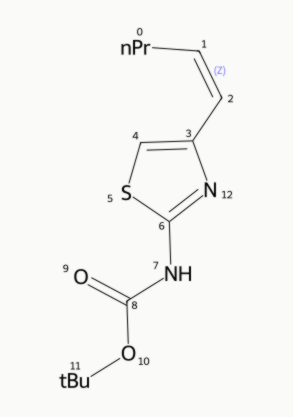 CCC/C=C\c1csc(NC(=O)OC(C)(C)C)n1